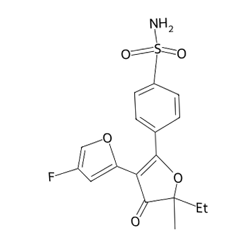 CCC1(C)OC(c2ccc(S(N)(=O)=O)cc2)=C(c2cc(F)co2)C1=O